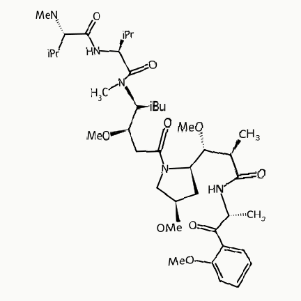 CC[C@H](C)[C@@H]([C@@H](CC(=O)N1C[C@H](OC)C[C@@H]1[C@H](OC)[C@@H](C)C(=O)N[C@H](C)C(=O)c1ccccc1OC)OC)N(C)C(=O)[C@@H](NC(=O)[C@@H](NC)C(C)C)C(C)C